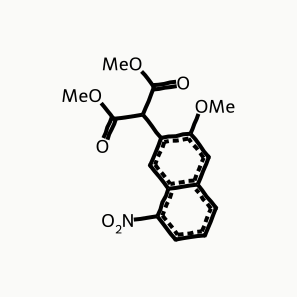 COC(=O)C(C(=O)OC)c1cc2c([N+](=O)[O-])cccc2cc1OC